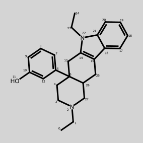 CCN1CCC2(c3cccc(O)c3)Cc3c(c4ccccc4n3CC)CC2C1